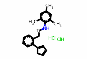 Cc1cc(C)c([NH][Ti][CH2]c2ccccc2C2=CC=CC2)c(C)c1.Cl.Cl